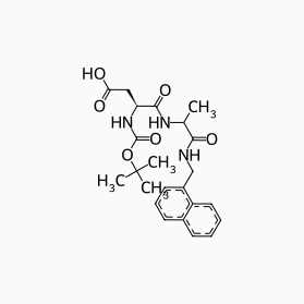 CC(NC(=O)[C@H](CC(=O)O)NC(=O)OC(C)(C)C)C(=O)NCc1cccc2ccccc12